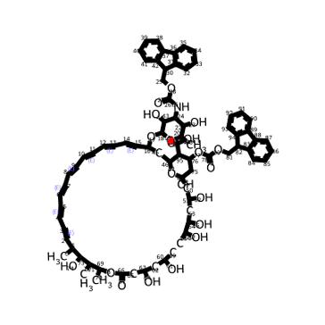 CC1/C=C/C=C/C=C/C=C/C=C/C=C/C=C/C(OC2OC(C)C(O)C(NC(=O)OCC3c4ccccc4-c4ccccc43)C2O)CC2OC(O)(CC(O)CC(O)C(O)CCC(O)CC(O)CC(=O)OC(C)C(C)C1O)CC(OC(=O)OCC1c3ccccc3-c3ccccc31)C2C(=O)O